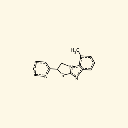 Cc1cccc2nc3n(c12)CC(c1ccccn1)S3